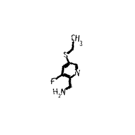 CCSc1cnc(CN)c(F)c1